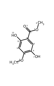 COC(=O)c1cc(O)c(OC)cc1O